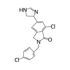 O=C1c2c(Cl)cc(C3CNC=N3)cc2CN1Cc1ccc(Cl)cc1